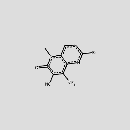 Cn1c(=O)c(C#N)c(C(F)(F)F)c2nc(Br)ccc21